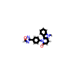 Cn1c2ccccc2c2c1ccc(=O)n2-c1ccc(-c2ncon2)cc1